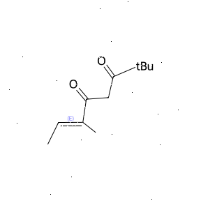 C/C=C(\C)C(=O)CC(=O)C(C)(C)C